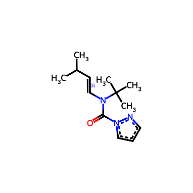 CC(C)/C=C/N(C(=O)n1cccn1)C(C)(C)C